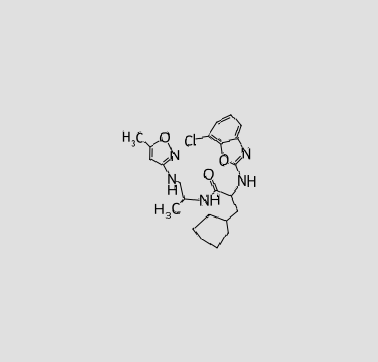 Cc1cc(NCC(C)NC(=O)C(CC2CCCCC2)Nc2nc3cccc(Cl)c3o2)no1